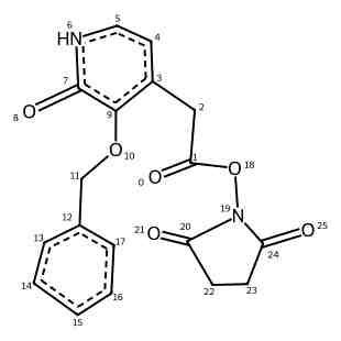 O=C(Cc1cc[nH]c(=O)c1OCc1ccccc1)ON1C(=O)CCC1=O